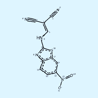 N#CC(C#N)=CNc1nc2ccc([N+](=O)[O-])cc2s1